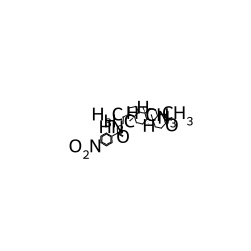 CC(CNC(=O)c1ccc([N+](=O)[O-])cc1)[C@H]1CC[C@H]2[C@@H]3CCC4N(C)C(=O)CC[C@]4(C)[C@H]3CC[C@]12C